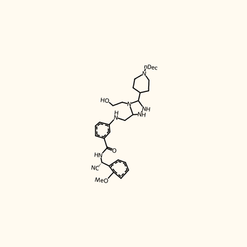 CCCCCCCCCCN1CCC(C2NNC(CNc3cccc(C(=O)N[C@@H](C#N)c4ccccc4OC)c3)N2CCO)CC1